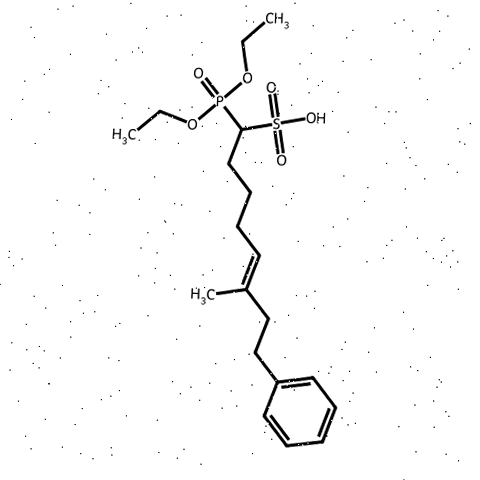 CCOP(=O)(OCC)C(CCC/C=C(\C)CCc1ccccc1)S(=O)(=O)O